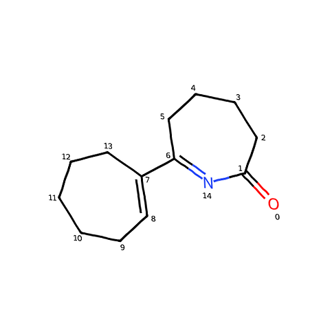 O=C1CCCCC(C2=CCCCCC2)=N1